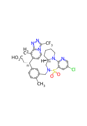 Cc1ccc([C@H](CC(=O)O)c2ccn3c(C(F)(F)F)nnc3c2C)cc1CN1C[C@@H]2CCCCN2c2ncc(Cl)cc2S1(=O)=O